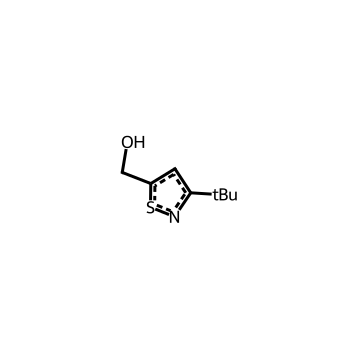 CC(C)(C)c1cc(CO)sn1